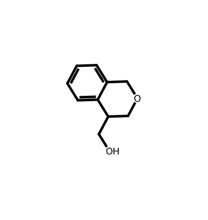 OCC1COCc2ccccc21